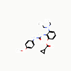 CCOc1ccc(NC(=O)Nc2c(OC(=O)C3CC3)cccc2N(CC(C)C)CC(C)C)cc1